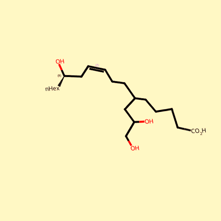 CCCCCC[C@@H](O)C/C=C\CCC(CCCCC(=O)O)CC(O)CO